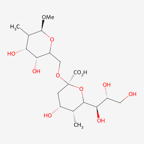 CO[C@H]1OC(CO[C@]2(C(=O)O)C[C@@H](O)[C@@H](C)C([C@H](O)[C@H](O)CO)O2)[C@H](O)[C@H](O)C1C